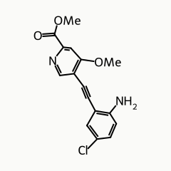 COC(=O)c1cc(OC)c(C#Cc2cc(Cl)ccc2N)cn1